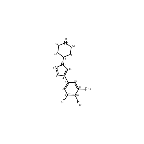 Fc1cc(-c2cnn(C3CC[N]CC3)c2)cc(F)c1F